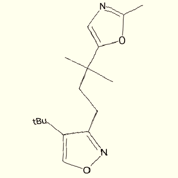 Cc1ncc(C(C)(C)CCc2nocc2C(C)(C)C)o1